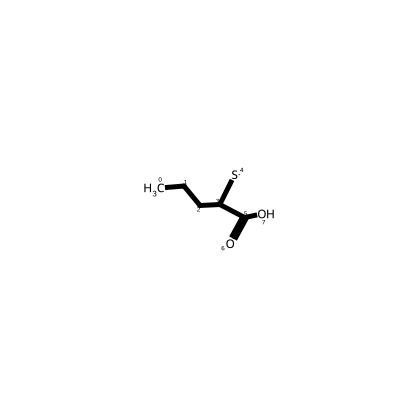 CCCC([S])C(=O)O